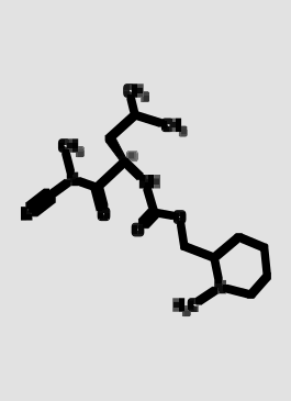 CC(C)C[C@@H](NC(=O)OCC1CCCCN1C)C(=O)N(C)C#N